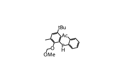 COCOc1c(C)cc(C(C)(C)C)cc1Pc1ccccc1C(C)=O